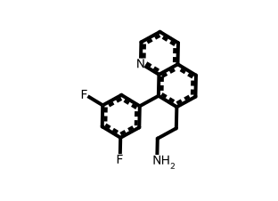 NCCc1ccc2cccnc2c1-c1cc(F)cc(F)c1